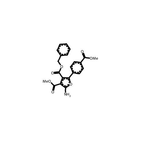 COC(=O)c1ccc(-c2oc(N)c(C(=O)OC)c2C(=O)OCc2ccccc2)cc1